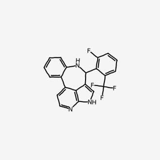 Fc1cccc(C(F)(F)F)c1C1Nc2ccccc2-c2ccnc3[nH]cc1c23